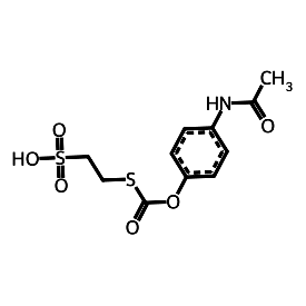 CC(=O)Nc1ccc(OC(=O)SCCS(=O)(=O)O)cc1